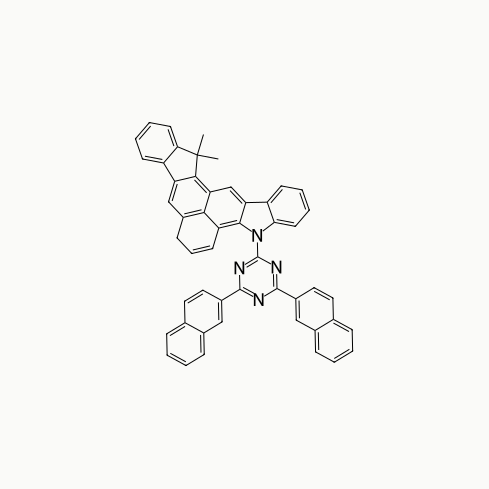 CC1(C)c2ccccc2-c2cc3c4c(c5c(cc4c21)c1ccccc1n5-c1nc(-c2ccc4ccccc4c2)nc(-c2ccc4ccccc4c2)n1)C=CC3